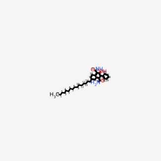 CCCCCCCCCCCCCCCCc1ccc2c(C(N)=O)c(O)c(-c3ccccc3)c(C(N)=O)c2c1